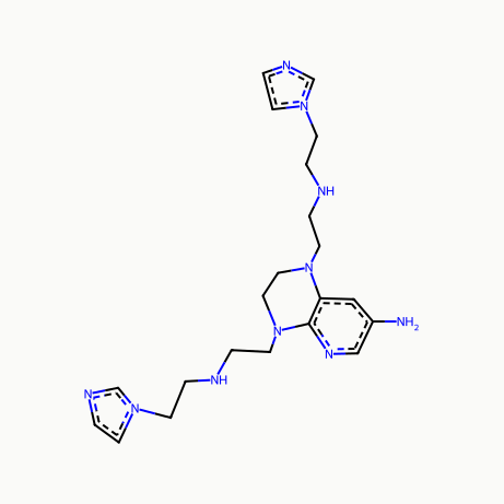 Nc1cnc2c(c1)N(CCNCCn1ccnc1)CCN2CCNCCn1ccnc1